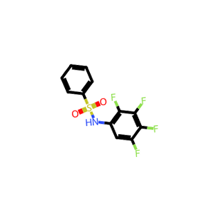 O=S(=O)(Nc1cc(F)c(F)c(F)c1F)c1ccccc1